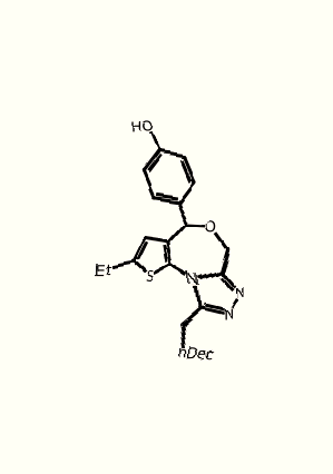 CCCCCCCCCCCc1nnc2n1-c1sc(CC)cc1C(c1ccc(O)cc1)OC2